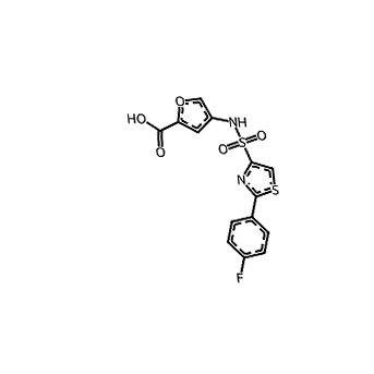 O=C(O)c1cc(NS(=O)(=O)c2csc(-c3ccc(F)cc3)n2)co1